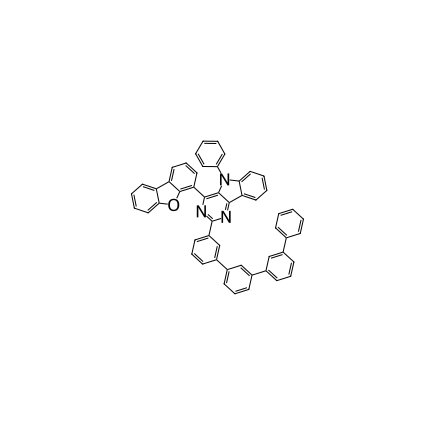 c1ccc(-c2cccc(-c3cccc(-c4cccc(-c5nc(-c6cccc7c6oc6ccccc67)c6c(n5)c5ccccc5n6-c5ccccc5)c4)c3)c2)cc1